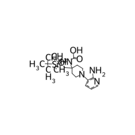 CC(C)(C)[Si](C)(C)OCC1(NC(=O)O)CCN(c2cccnc2N)CC1